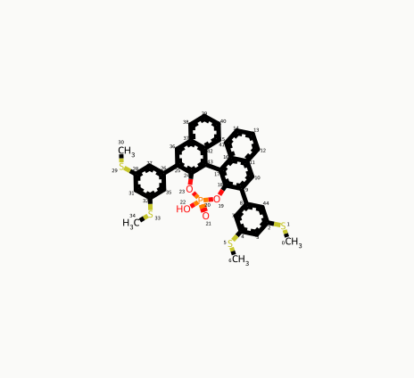 CSc1cc(SC)cc(-c2cc3ccccc3c3c2OP(=O)(O)Oc2c(-c4cc(SC)cc(SC)c4)cc4ccccc4c2-3)c1